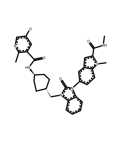 CNC(=O)c1cc2cc(-n3c(=O)n(C[C@H]4CC[C@H](NC(=O)c5cc(Cl)cnc5C)CC4)c4ccccc43)ccc2n1C